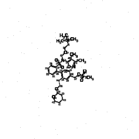 Cc1noc(N(COCC[Si](C)(C)C)S(=O)(=O)c2ccccc2-c2ccc(COS(C)(=O)=O)cc2CCOC2CCCCO2)c1C